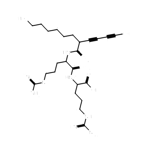 CC#CC#CC(CCCCCCC)C(=O)NC(CCCNC(=N)N)C(=O)NC(CCCNC(=N)N)C(=O)O